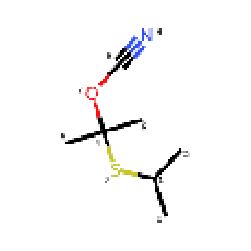 CC(C)SC(C)(C)OC#N